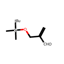 C=C(C=O)CO[Si](C)(C)C(C)(C)C